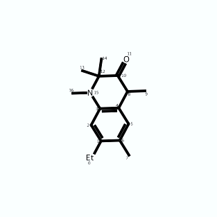 CCc1cc2c(cc1C)C(C)C(=O)C(C)(C)N2C